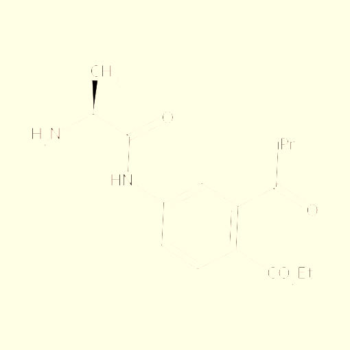 CCOC(=O)c1ccc(NC(=O)[C@H](C)N)cc1C(=O)C(C)C